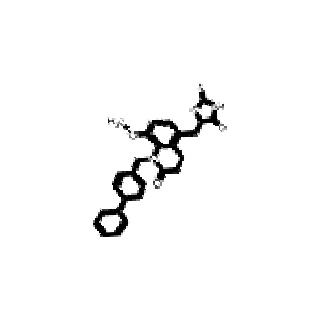 COc1ccc(CC2SC(=S)NC2=O)c2c1N(Cc1ccc(-c3ccccc3)cc1)C(=O)CC2